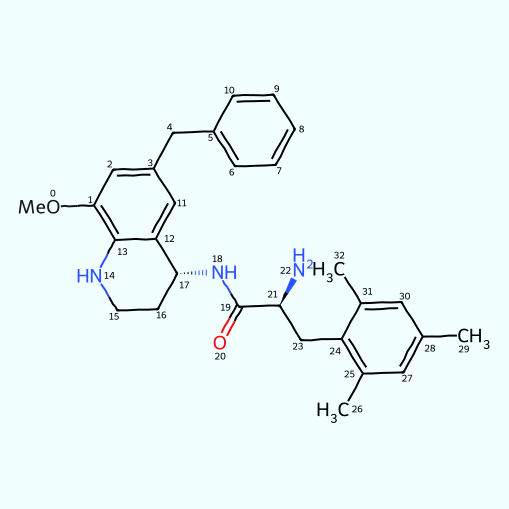 COc1cc(Cc2ccccc2)cc2c1NCC[C@H]2NC(=O)[C@@H](N)Cc1c(C)cc(C)cc1C